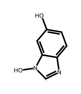 Oc1ccc2n[c]n(O)c2c1